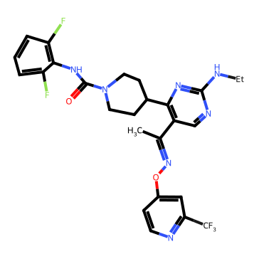 CCNc1ncc(C(C)=NOc2ccnc(C(F)(F)F)c2)c(C2CCN(C(=O)Nc3c(F)cccc3F)CC2)n1